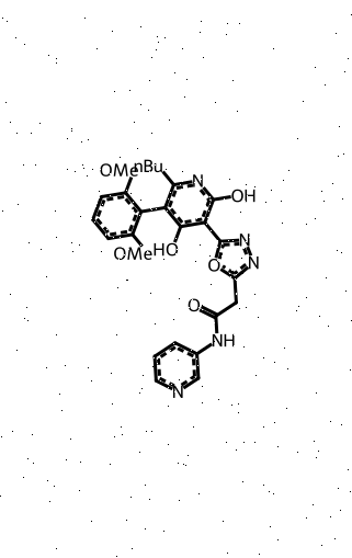 CCCCc1nc(O)c(-c2nnc(CC(=O)Nc3cccnc3)o2)c(O)c1-c1c(OC)cccc1OC